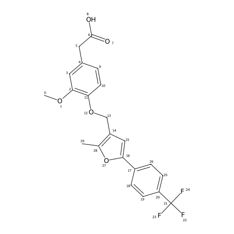 COc1cc(CC(=O)O)ccc1OCc1cc(-c2ccc(C(F)(F)F)cc2)oc1C